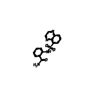 NC(=O)c1ccccc1NS(=O)(=O)c1cccc2nccnc12